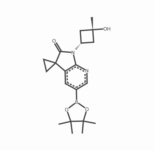 CC1(C)OB(c2cnc3c(c2)C2(CC2)C(=O)N3[C@H]2C[C@@](C)(O)C2)OC1(C)C